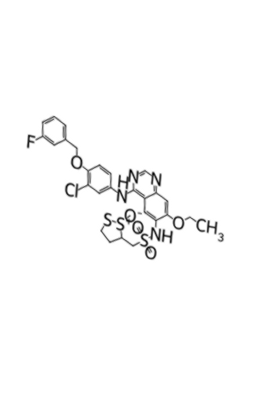 CCOc1cc2ncnc(Nc3ccc(OCc4cccc(F)c4)c(Cl)c3)c2cc1NS(=O)(=O)CC1CCS[S+]1[O-]